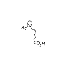 CC(=O)C1C2C=CC(C2)C1C/C=C\CCCC(=O)O